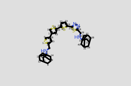 c1sc(CNC23CC4CC(CC(C4)C2)C3)cc1-c1csc(-c2ccc(-c3nnc(CNC45CC6CC(CC(C6)C4)C5)s3)s2)c1